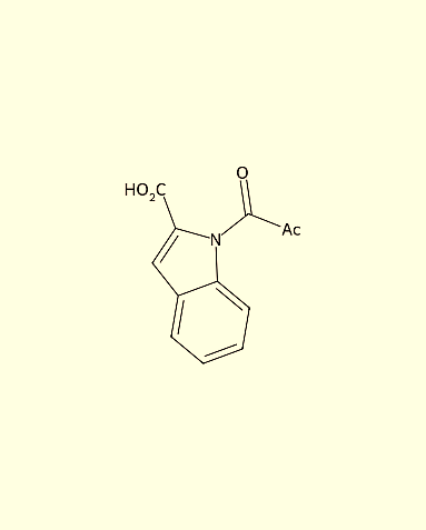 CC(=O)C(=O)n1c(C(=O)O)cc2ccccc21